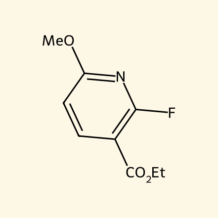 CCOC(=O)c1ccc(OC)nc1F